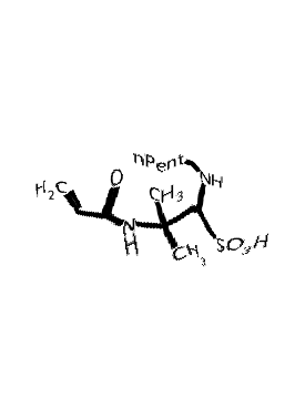 C=CC(=O)NC(C)(C)C(NCCCCC)S(=O)(=O)O